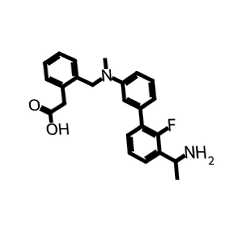 CC(N)c1cccc(-c2cccc(N(C)Cc3ccccc3CC(=O)O)c2)c1F